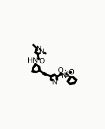 Cc1cc(C(=O)Nc2cccc(C#Cc3cncc(C(=O)N=[S@@](C)(=O)c4ccccc4)c3)c2)n(C)n1